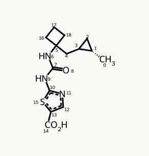 C[C@H]1CC1CC1(NC(=O)Nc2ncc(C(=O)O)s2)CCC1